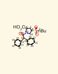 CCCCS(=O)(=O)[C@H]1C[C@@H](C(=O)O)N(C(=O)C(c2ccccc2)c2ccccc2)C1